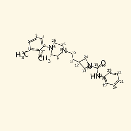 Cc1cccc(N2CCN(CCC3CN(C(=O)Nc4ccccc4)C3)CC2)c1C